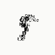 COc1cc(OC)c(Cl)c(Nc2ncccc2-c2ncnc(Nc3cnn(C4CCN(C(=O)OC(C)(C)C)CC4)c3)n2)c1Cl